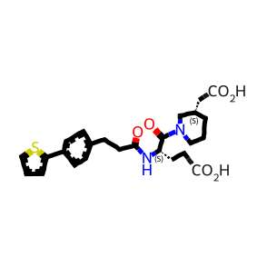 O=C(O)CC[C@H](NC(=O)CCc1ccc(-c2cccs2)cc1)C(=O)N1CCC[C@@H](CC(=O)O)C1